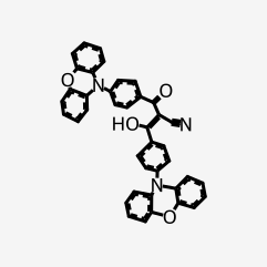 N#CC(C(=O)c1ccc(N2c3ccccc3Oc3ccccc32)cc1)=C(O)c1ccc(N2c3ccccc3Oc3ccccc32)cc1